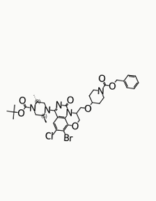 C[C@@H]1CN(c2nc(=O)n3c4c(c(Br)c(Cl)cc24)OCC3COC2CCN(C(=O)OCc3ccccc3)CC2)[C@@H](C)CN1C(=O)OC(C)(C)C